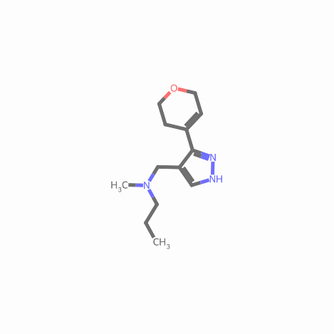 CCCN(C)Cc1c[nH]nc1C1=CCOCC1